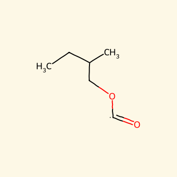 CCC(C)CO[C]=O